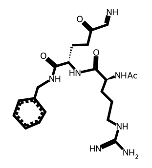 CC(=O)N[C@@H](CCCNC(=N)N)C(=O)N[C@@H](CCC(=O)C=N)C(=O)NCc1ccccc1